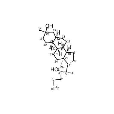 CC(C)CC[C@H](O)[C@@H](C)[C@H]1CC[C@H]2[C@@H]3CC[C@@H]4C[C@@](C)(O)CC[C@@H]4[C@H]3CC[C@]12C